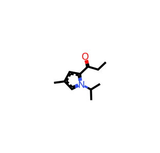 CCC(=O)c1cc(C)cn1C(C)C